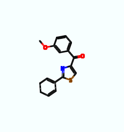 COc1cccc(C(=O)c2csc(C3=CCCC=C3)n2)c1